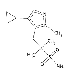 Cn1ncc(C2CC2)c1CC(C)(C)S(N)(=O)=O